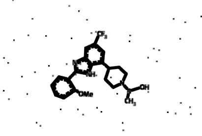 COc1ccccc1-c1nc2cc(C(F)(F)F)cc(C3CCN(B(C)O)CC3)c2[nH]1